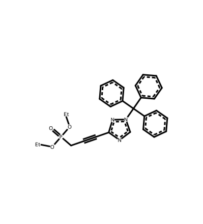 CCOP(=O)(CC#Cc1ncn(C(c2ccccc2)(c2ccccc2)c2ccccc2)n1)OCC